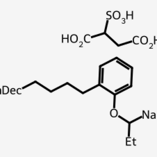 CCCCCCCCCCCCCCc1ccccc1O[CH]([Na])CC.O=C(O)CC(C(=O)O)S(=O)(=O)O